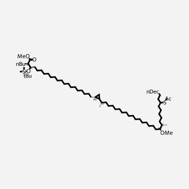 CCCCCCCCCCCCC(CCCCC[C@H](C)[C@H](CCCCCCCCCCCCCCCC[C@H](C)C1C[C@H]1CCCCCCCCCCCCCCCCCC[C@@H](O[Si](C)(C)C(C)(C)C)[C@@H](CCCC)C(=O)OC)OC)SC(C)=O